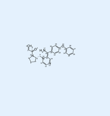 C=CC(=O)N1CCC[C@H]1CN1C=CN=C/C1=C(/N)c1ccc(Oc2ccccc2)cc1